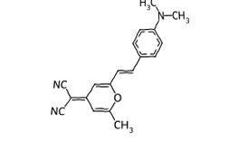 CC1=CC(=C(C#N)C#N)C=C(C=Cc2ccc(N(C)C)cc2)O1